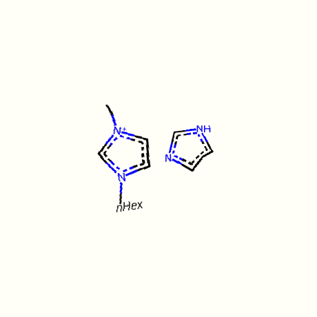 CCCCCCn1cc[n+](C)c1.c1c[nH]cn1